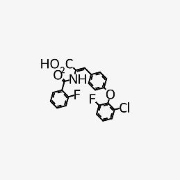 O=C(O)/C(=C/c1ccc(Oc2c(F)cccc2Cl)cc1)NC(=O)c1ccccc1F